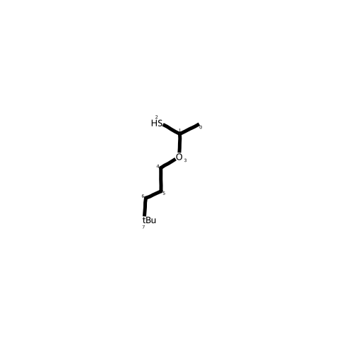 CC(S)OCCCC(C)(C)C